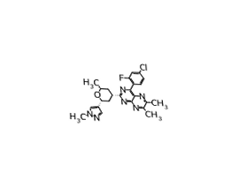 Cc1nc2nc([C@H]3C[C@H](C)O[C@@H](c4cnn(C)c4)C3)nc(-c3ccc(Cl)cc3F)c2nc1C